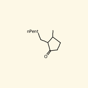 CCCCCCC1C(=O)CCC1C